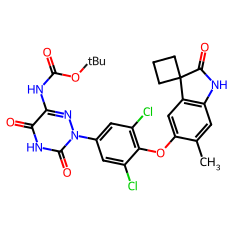 Cc1cc2c(cc1Oc1c(Cl)cc(-n3nc(NC(=O)OC(C)(C)C)c(=O)[nH]c3=O)cc1Cl)C1(CCC1)C(=O)N2